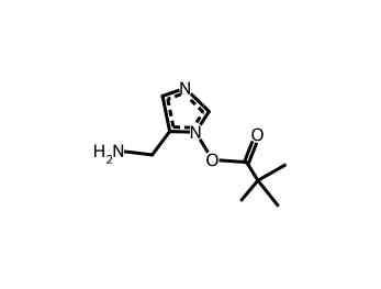 CC(C)(C)C(=O)On1cncc1CN